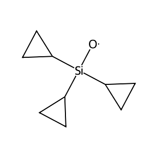 [O][Si](C1CC1)(C1CC1)C1CC1